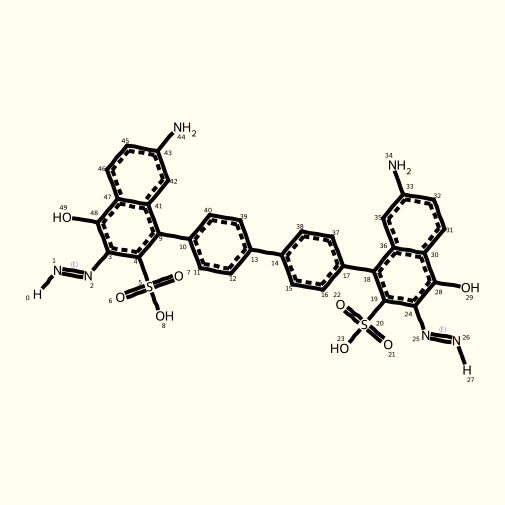 [H]/N=N/c1c(S(=O)(=O)O)c(-c2ccc(-c3ccc(-c4c(S(=O)(=O)O)c(/N=N/[H])c(O)c5ccc(N)cc45)cc3)cc2)c2cc(N)ccc2c1O